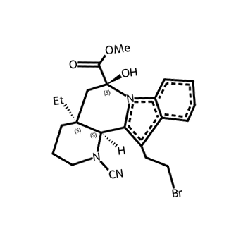 CC[C@@]12CCCN(C#N)[C@@H]1c1c(CCBr)c3ccccc3n1[C@@](O)(C(=O)OC)C2